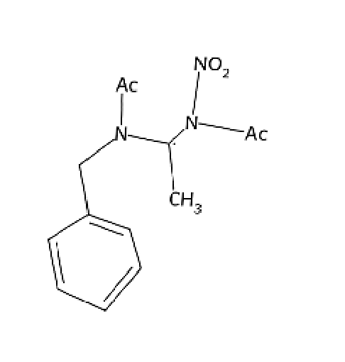 C[C](N(Cc1ccccc1)C(C)=O)N(C(C)=O)[N+](=O)[O-]